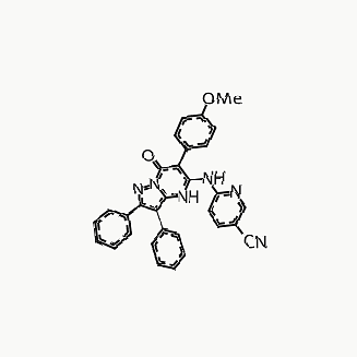 COc1ccc(-c2c(Nc3ccc(C#N)cn3)[nH]c3c(-c4ccccc4)c(-c4ccccc4)nn3c2=O)cc1